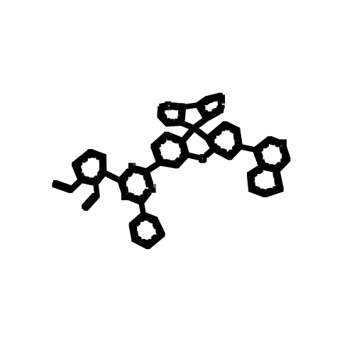 C=Cc1cccc(-c2nc(-c3ccccc3)nc(-c3ccc4c(c3)Oc3cc(-c5cncc6ccccc56)ccc3C43c4ccccc4-c4ccccc43)n2)c1C=C